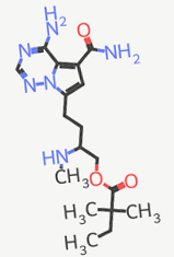 CCC(C)(C)C(=O)OCC(CCc1cc(C(N)=O)c2c(N)ncnn12)NC